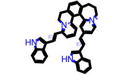 C(=C\c1c[nH]c2ccccc12)/c1cc[n+]2c(c1)-c1c(ccc3c1-c1cccc(/C=C/c4c[nH]c5ccccc45)[n+]1CC3)CCC2